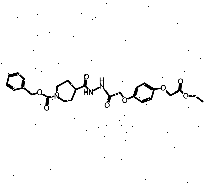 CCOC(=O)COc1ccc(OCC(=O)NNC(=O)C2CCN(C(=O)OCc3ccccc3)CC2)cc1